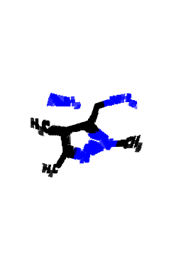 Cc1nn(C)c(CN)c1C.N